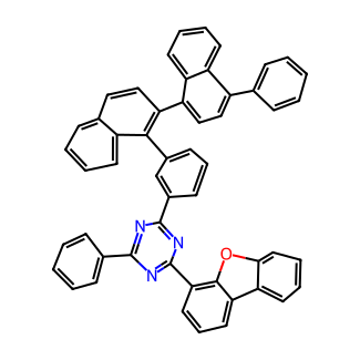 c1ccc(-c2nc(-c3cccc(-c4c(-c5ccc(-c6ccccc6)c6ccccc56)ccc5ccccc45)c3)nc(-c3cccc4c3oc3ccccc34)n2)cc1